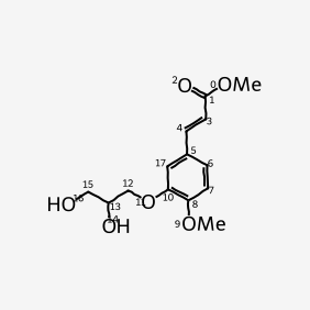 COC(=O)C=Cc1ccc(OC)c(OCC(O)CO)c1